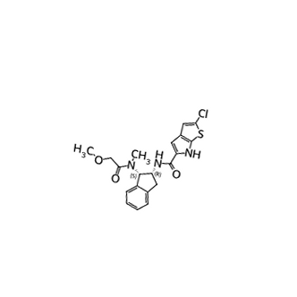 COCC(=O)N(C)[C@H]1c2ccccc2C[C@H]1NC(=O)c1cc2cc(Cl)sc2[nH]1